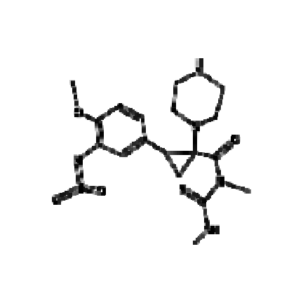 CNC(=S)N(C)C(=O)C1(N2CCNCC2)CC1c1ccc(OC)c(N=S(=O)=O)c1